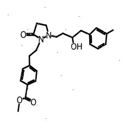 COC(=O)c1ccc(CCN2C(=O)CCN2CCC(O)Cc2cccc(C)c2)cc1